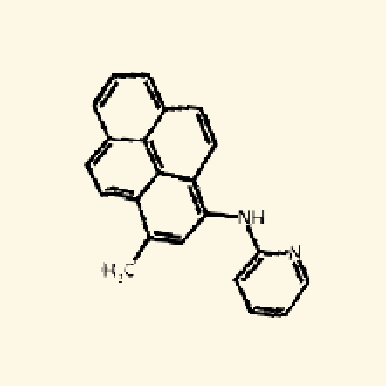 Cc1cc(Nc2ccccn2)c2ccc3cccc4ccc1c2c43